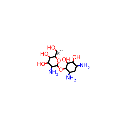 C[C@@H](O)C1OC(OC2C(N)CC(N)C(O)C2O)C(N)C(O)C1O